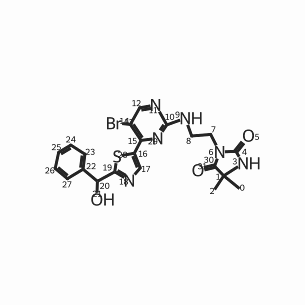 CC1(C)NC(=O)N(CCNc2ncc(Br)c(-c3cnc(C(O)c4ccccc4)s3)n2)C1=O